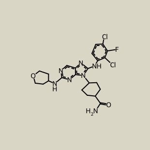 NC(=O)C1CCC(n2c(Nc3ccc(Cl)c(F)c3Cl)nc3cnc(NC4CCOCC4)nc32)CC1